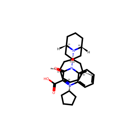 C[C@@H]1C[C@H](C2CCCC2)C[C@H](C)C[C@H](N2[C@@H]3CCC[C@H]2C[C@@H](n2c(=O)c(C(=O)O)nc4ccccc42)C3)C1